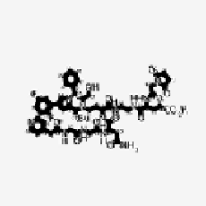 CC(C)(C)C(c1cc(-c2cc(F)ccc2F)cn1Cc1ccccc1)N(CCC(NC(=O)C(CC(N)=O)NC(=O)CNC(=O)CNC(=O)Cc1ccncc1)C(=O)NCCNC(=O)C(CCC(=O)O)NC(=O)CN1C(=O)C=CC1=O)C(=O)CO